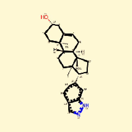 C[C@]12CC[C@H]3[C@@H](CC=C4C[C@@H](O)CC[C@@]43C)[C@@H]1CC[C@@H]2c1ccc2cn[nH]c2c1